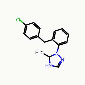 CC1NC=NN1c1ccccc1Cc1ccc(Cl)cc1